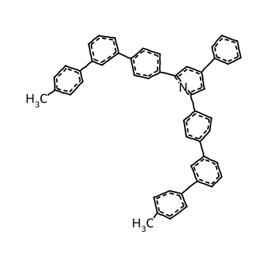 Cc1ccc(-c2cccc(-c3ccc(-c4cc(-c5ccccc5)cc(-c5ccc(-c6cccc(-c7ccc(C)cc7)c6)cc5)n4)cc3)c2)cc1